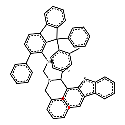 Cc1ccccc1C1(c2ccccc2)c2ccccc2-c2ccc(-c3ccccc3)c(NCN(Cc3ccccc3)C(N)c3cccc4c3sc3ccccc34)c21